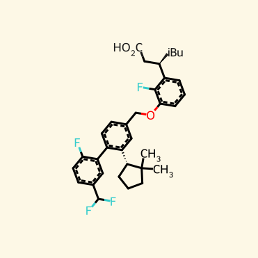 CCC(C)[C@H](CC(=O)O)c1cccc(OCc2ccc(-c3cc(C(F)F)ccc3F)c([C@H]3CCCC3(C)C)c2)c1F